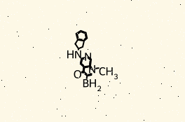 Bc1cn(CC)c2cnc(NC3Cc4ccccc4C3)cc2c1=O